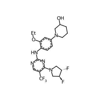 CCOc1cc(N2CCCC(O)C2)ccc1Nc1ncc(C(F)(F)F)c(N2C[C@H](F)[C@@H](F)C2)n1